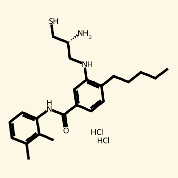 CCCCCc1ccc(C(=O)Nc2cccc(C)c2C)cc1NC[C@@H](N)CS.Cl.Cl